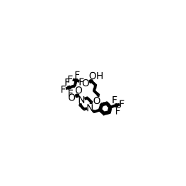 O=C(O)CCCOc1cc(C(F)(F)F)ccc1CN1CCN(C(=O)OC(C(F)(F)F)C(F)(F)F)CC1